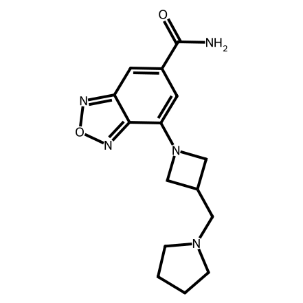 NC(=O)c1cc(N2CC(CN3CCCC3)C2)c2nonc2c1